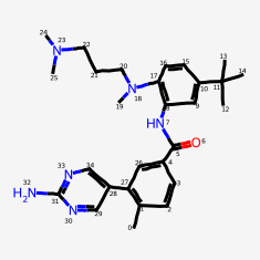 Cc1ccc(C(=O)Nc2cc(C(C)(C)C)ccc2N(C)CCCN(C)C)cc1-c1cnc(N)nc1